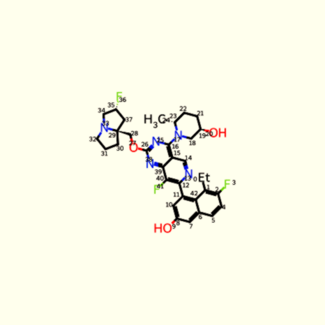 CCc1c(F)ccc2cc(O)cc(-c3ncc4c(N5C[C@H](O)CC[C@H]5C)nc(OC[C@@]56CCCN5C[C@H](F)C6)nc4c3F)c12